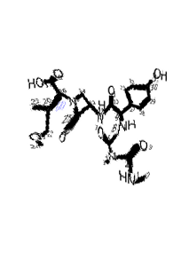 CNC(=O)N(C)C(=O)NC(C(=O)NC1CN(/C(C(=O)O)=C(/C)COC)C1=O)c1ccc(O)cc1